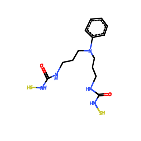 O=C(NS)NCCCN(CCCNC(=O)NS)c1ccccc1